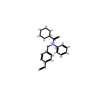 C=Cc1ccc(CN(C(=C)C2CCCCC2)c2ccccc2)cc1